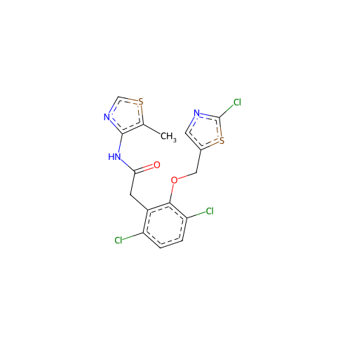 Cc1scnc1NC(=O)Cc1c(Cl)ccc(Cl)c1OCc1cnc(Cl)s1